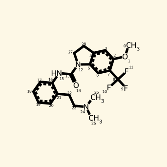 COc1cc2c(cc1C(F)(F)F)N(C(=O)Nc1ccccc1CCN(C)C)CC2